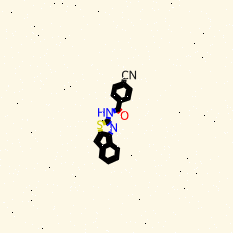 N#Cc1ccc(C(=O)Nc2nc3c(s2)=CC2=CC=CCC=32)cc1